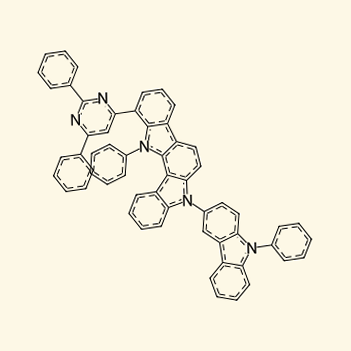 c1ccc(-c2cc(-c3cccc4c5ccc6c(c7ccccc7n6-c6ccc7c(c6)c6ccccc6n7-c6ccccc6)c5n(-c5ccccc5)c34)nc(-c3ccccc3)n2)cc1